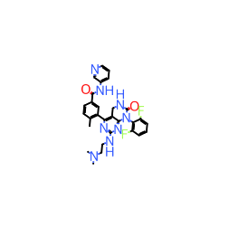 Cc1ccc(C(=O)Nc2cccnc2)cc1-c1nc(NCCN(C)C)nc2c1CNC(=O)N2c1c(F)cccc1F